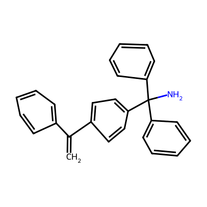 C=C(c1ccccc1)c1ccc(C(N)(c2ccccc2)c2ccccc2)cc1